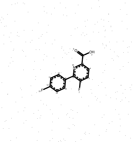 O=C(O)c1ccc(F)c(-c2ccc(F)cc2)n1